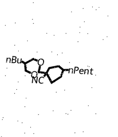 CCCCCC1CCC(C#N)(C2OCC(CCCC)CO2)CC1